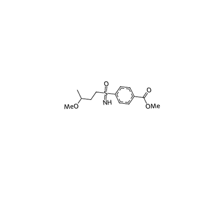 COC(=O)c1ccc(S(=N)(=O)CCC(C)OC)cc1